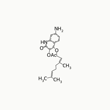 CC(=O)Oc1c(OCC=C(C)CCC=C(C)C)c2ccc(N)cc2[nH]c1=O